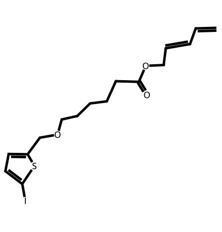 C=CC=CCOC(=O)CCCCCOCc1ccc(I)s1